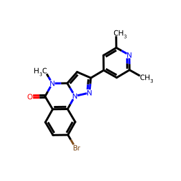 Cc1cc(-c2cc3n(C)c(=O)c4ccc(Br)cc4n3n2)cc(C)n1